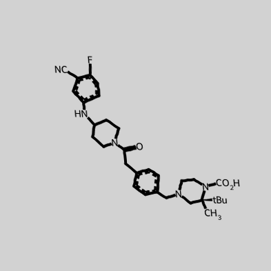 CC(C)(C)[C@@]1(C)CN(Cc2ccc(CC(=O)N3CCC(Nc4ccc(F)c(C#N)c4)CC3)cc2)CCN1C(=O)O